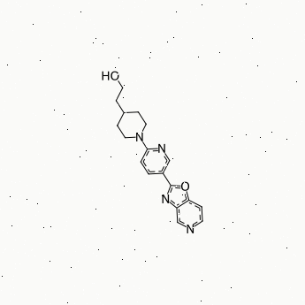 OCCC1CCN(c2ccc(-c3nc4cnccc4o3)cn2)CC1